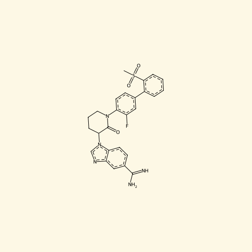 CS(=O)(=O)c1ccccc1-c1ccc(N2CCCC(n3cnc4cc(C(=N)N)ccc43)C2=O)c(F)c1